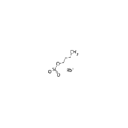 CCCCO[Si](=O)[O-].[Rb+]